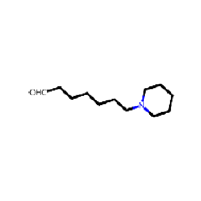 O=[C]CCCCCCN1CCCCC1